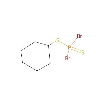 S=P(Br)(Br)SC1CCCCC1